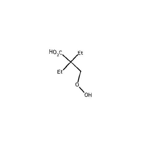 CCC(CC)(COO)C(=O)O